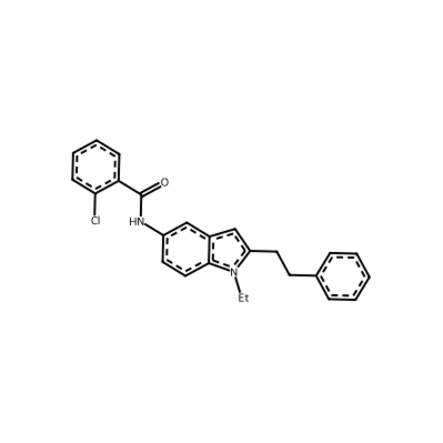 CCn1c(CCc2ccccc2)cc2cc(NC(=O)c3ccccc3Cl)ccc21